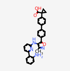 Cc1noc(-c2ccc(-c3ccc(C4(C(=O)O)CC4)cc3)cc2)c1Nc1cccc(-c2ccccc2N)n1